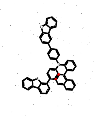 c1cc2ccccc2c(-c2ccccc2N(C2=CC=C(c3cccc4c3sc3ccccc34)CC2)c2ccc(-c3ccc4oc5ccccc5c4c3)cc2)c#1